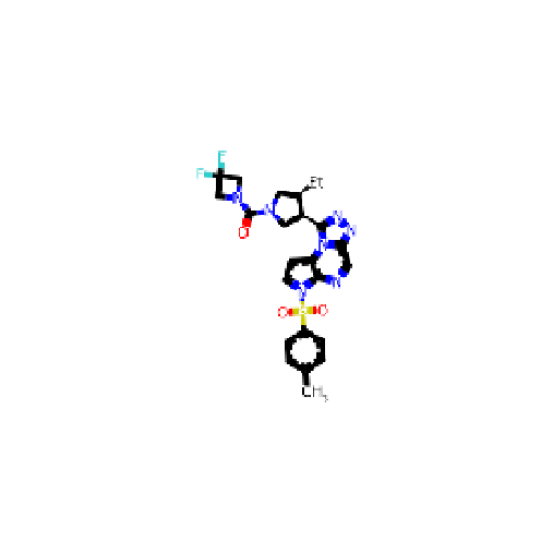 CC[C@@H]1CN(C(=O)N2CC(F)(F)C2)C[C@@H]1c1nnc2cnc3c(ccn3S(=O)(=O)c3ccc(C)cc3)n12